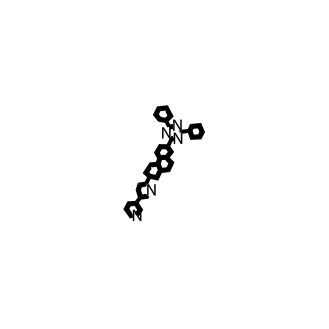 c1ccc(-c2nc(-c3ccccc3)nc(-c3ccc4c(ccc5cc(-c6ccc(-c7cccnc7)cn6)ccc54)c3)n2)cc1